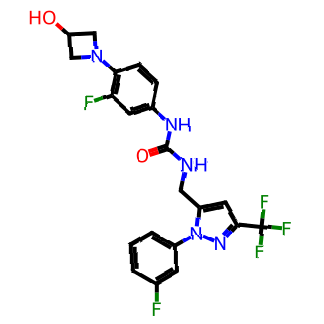 O=C(NCc1cc(C(F)(F)F)nn1-c1cccc(F)c1)Nc1ccc(N2CC(O)C2)c(F)c1